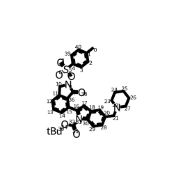 Cc1ccc(S(=O)(=O)ON2Cc3cccc(-c4cc5cc(CN6CCCCC6)ccc5n4C(=O)OC(C)(C)C)c3C2=O)cc1